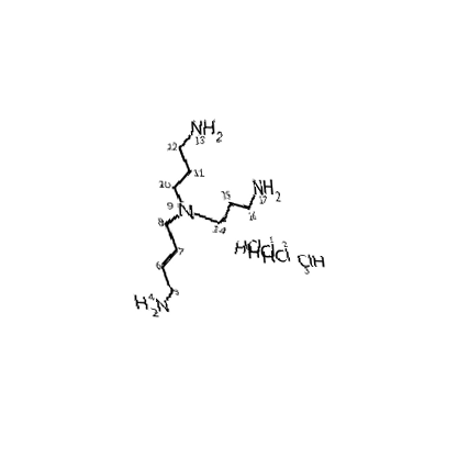 Cl.Cl.Cl.Cl.NCCCCN(CCCN)CCCN